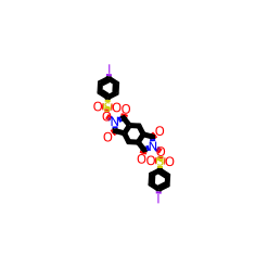 O=C1C2CC3C(=O)N(OS(=O)(=O)c4ccc(I)cc4)C(=O)C3CC2C(=O)N1OS(=O)(=O)c1ccc(I)cc1